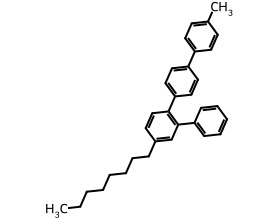 CCCCCCCCc1ccc(-c2ccc(-c3ccc(C)cc3)cc2)c(-c2ccccc2)c1